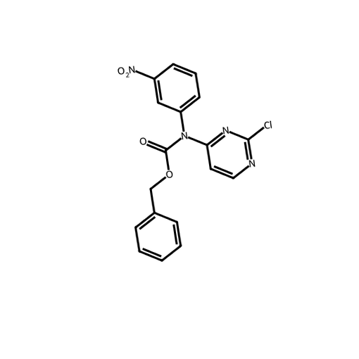 O=C(OCc1ccccc1)N(c1cccc([N+](=O)[O-])c1)c1ccnc(Cl)n1